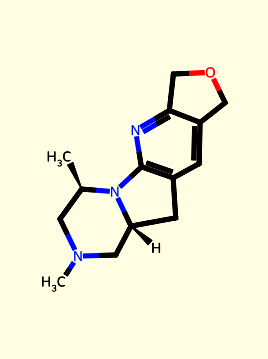 C[C@@H]1CN(C)C[C@H]2Cc3cc4c(nc3N21)COC4